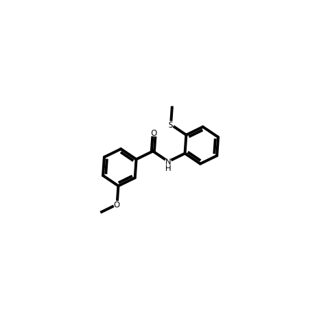 COc1cccc(C(=O)Nc2ccccc2SC)c1